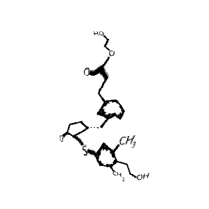 Cc1cc(SC2C(=O)CC[C@@H]2Cc2cccc(CCC(=O)OCCO)c2)cc(C)c1CCO